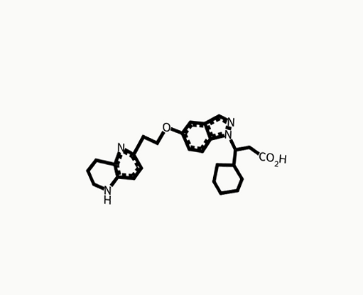 O=C(O)CC(C1CCCCC1)n1ncc2cc(OCCc3ccc4c(n3)CCCN4)ccc21